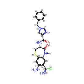 CN1C(=O)[C@@H](NC(=O)c2cn(Cc3ccccc3)cn2)CSc2cc(N)c(C(=N)Cl)cc21